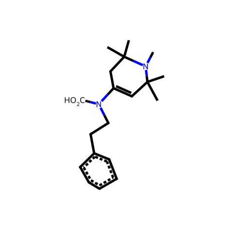 CN1C(C)(C)C=C(N(CCc2ccccc2)C(=O)O)CC1(C)C